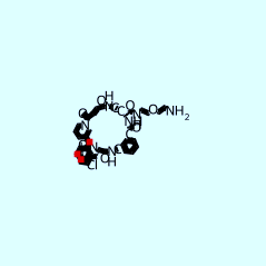 NCCOCCNC(=O)[C@@H]1CCNC(=O)/C=C/C(=O)N2CCC[C@](Cc3cccc(Cl)c3)(C2)C(=O)N[C@@H](Cc2ccco2)C(=O)NCc2ccccc2CC(=O)N1